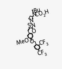 COc1cc(/C=C2/SC(N3CCC(N(C(=O)O)C(C)(C)C)C3)=NC2=O)ccc1OCc1ccc(C(F)(F)F)cc1C(F)(F)F